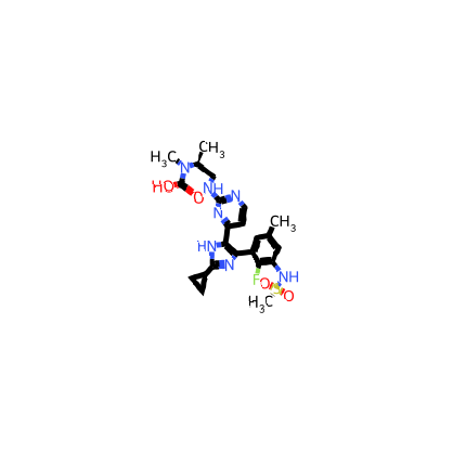 Cc1cc(NS(C)(=O)=O)c(F)c(-c2nc(C3CC3)[nH]c2-c2ccnc(NC[C@H](C)N(C)C(=O)O)n2)c1